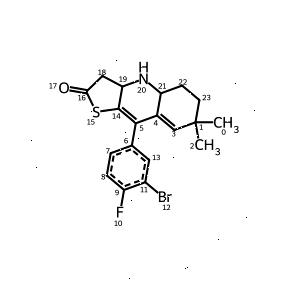 CC1(C)C=C2C(c3ccc(F)c(Br)c3)=C3SC(=O)CC3NC2CC1